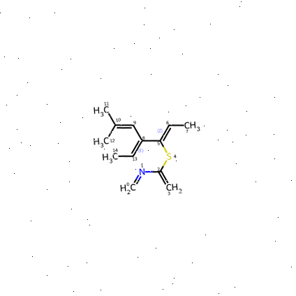 C=NC(=C)SC(=C\C)/C(C=C(C)C)=C/C